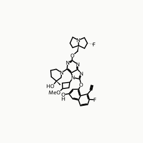 C#Cc1c(F)ccc2cc(O)cc(Oc3nc4nc(OC[C@@]56CCCN5C[C@H](F)C6)nc(N5CCC[C@@](C)(O)C5)c4n3C3CC(OC)C3)c12